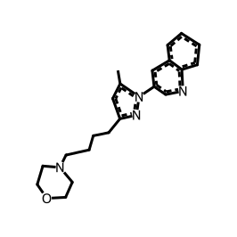 Cc1cc(CCCCN2CCOCC2)nn1-c1cnc2ccccc2c1